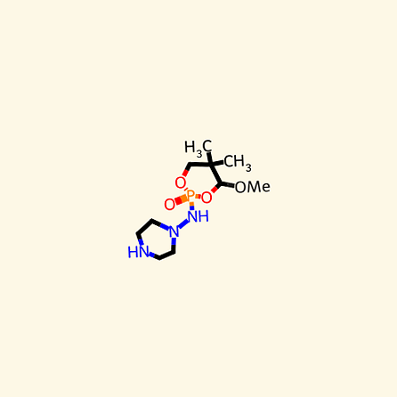 COC1OP(=O)(NN2CCNCC2)OCC1(C)C